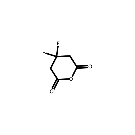 O=C1CC(F)(F)CC(=O)O1